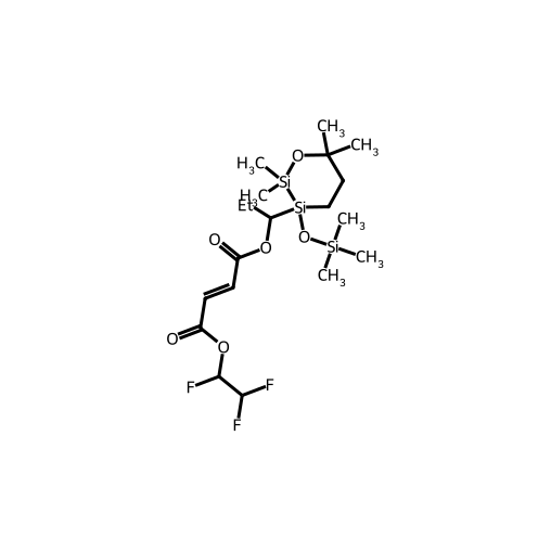 CCC(OC(=O)C=CC(=O)OC(F)C(F)F)[Si]1(O[Si](C)(C)C)CCC(C)(C)O[Si]1(C)C